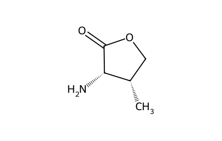 C[C@H]1COC(=O)[C@H]1N